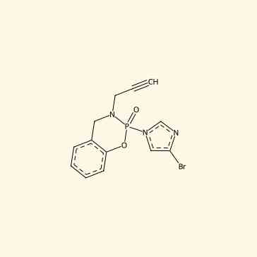 C#CCN1Cc2ccccc2OP1(=O)n1cnc(Br)c1